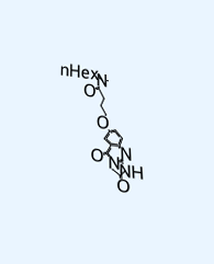 CCCCCCN(C)C(=O)CCCOc1ccc2nc3n(c(=O)c2c1)CC(=O)N3